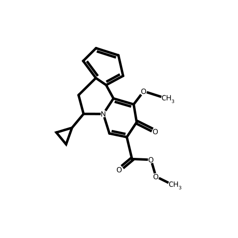 COOC(=O)c1cn2c(c(OC)c1=O)-c1ccccc1CC2C1CC1